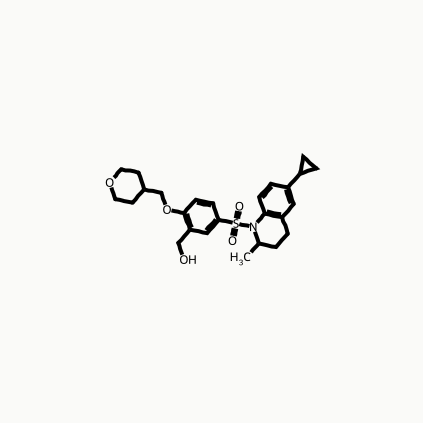 CC1CCc2cc(C3CC3)ccc2N1S(=O)(=O)c1ccc(OCC2CCOCC2)c(CO)c1